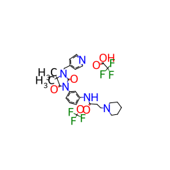 CC1(C)C(=O)N(c2ccc(OC(F)(F)F)c(NC(=O)CCN3CCCCC3)c2)C(=O)N1Cc1ccncc1.O=C(O)C(F)(F)F